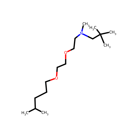 CC(C)CCCOCCOCCN(C)CC(C)(C)C